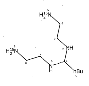 CCCCC(NCC[15NH2])NCC[15NH2]